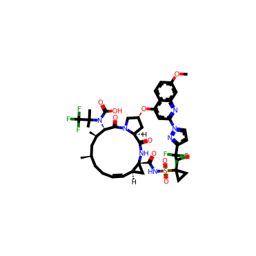 COc1ccc2c(O[C@@H]3C[C@H]4C(=O)N[C@]5(C(=O)NS(=O)(=O)C6(CF)CC6)C[C@H]5/C=C\CC[C@@H](C)C[C@@H](C)[C@H](N(C(=O)O)C(C)(C)C(F)(F)F)C(=O)N4C3)cc(-n3ccc(C(F)(F)F)n3)nc2c1